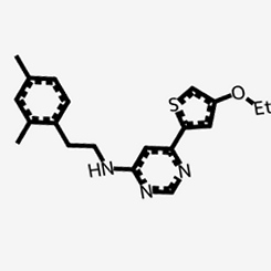 CCOc1csc(-c2cc(NCCc3ccc(C)cc3C)ncn2)c1